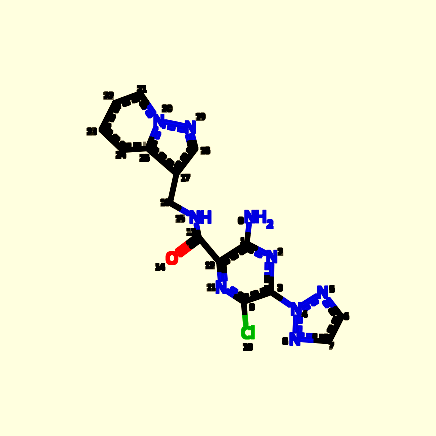 Nc1nc(-n2nccn2)c(Cl)nc1C(=O)NCc1cnn2ccccc12